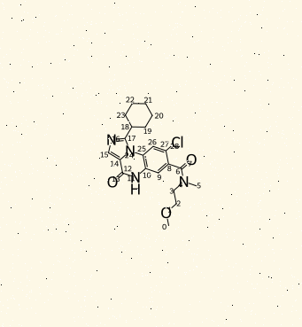 COCCN(C)C(=O)c1cc2[nH]c(=O)c3cnc(C4CCCCC4)n3c2cc1Cl